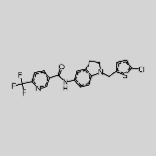 O=C(Nc1ccc2c(c1)CCN2Cc1ccc(Cl)s1)c1ccc(C(F)(F)F)nc1